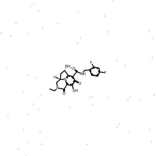 CCN1C[C@@H]2C[C@H](N)c3c(C(=O)NCc4ccc(F)cc4F)c(=O)c(O)c(n32)C1=O